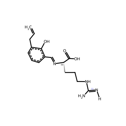 [H]/N=C(\N)NCCC[C@H](N=Cc1cccc(CC=C)c1O)C(=O)O